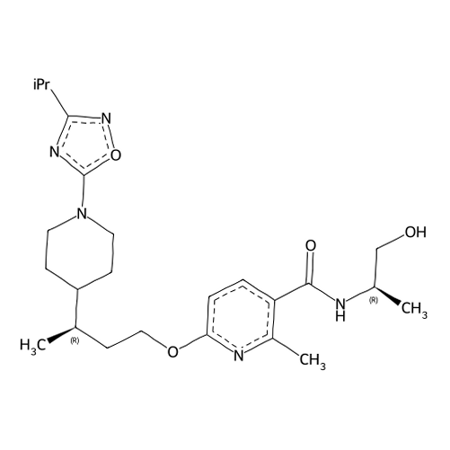 Cc1nc(OCC[C@@H](C)C2CCN(c3nc(C(C)C)no3)CC2)ccc1C(=O)N[C@H](C)CO